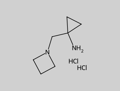 Cl.Cl.NC1(CN2CCC2)CC1